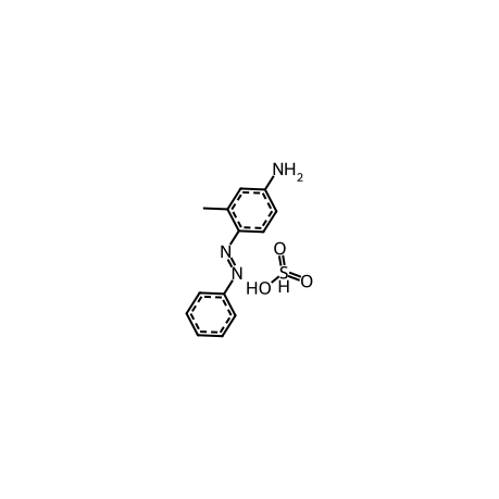 Cc1cc(N)ccc1N=Nc1ccccc1.O=[SH](=O)O